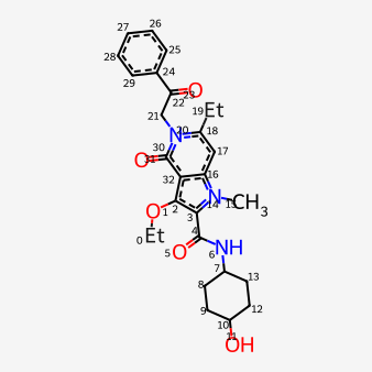 CCOc1c(C(=O)NC2CCC(O)CC2)n(C)c2cc(CC)n(CC(=O)c3ccccc3)c(=O)c12